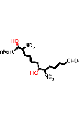 CCCCCC(O)C(CC=CCC(O)C(CCCC[C]=O)[N+](=O)[O-])[N+](=O)[O-]